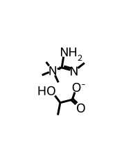 C/N=C(\N)[N+](C)(C)C.CC(O)C(=O)[O-]